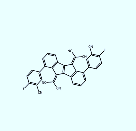 N#CC(C#N)=C1C2=C(C(=C(C#N)C#N)c3c2cccc3-c2ccc(F)c(C#N)c2)c2cccc(-c3ccc(F)c(C#N)c3)c21